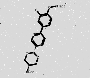 CCCCCCCCCC[C@H]1CO[C@H](c2ccc(-c3ccc(OCCCCCCC)c(F)c3)nc2)OC1